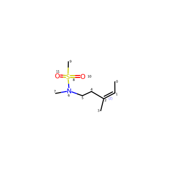 C/C=C(/C)CCN(C)S(C)(=O)=O